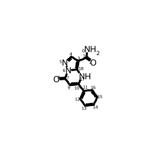 NC(=O)c1cnn2c(=O)cc(-c3ccccc3)[nH]c12